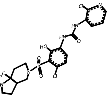 CC12CCN(S(=O)(=O)c3c(Cl)ccc(NC(=O)Nc4cccnc4Cl)c3O)CC1CCN2